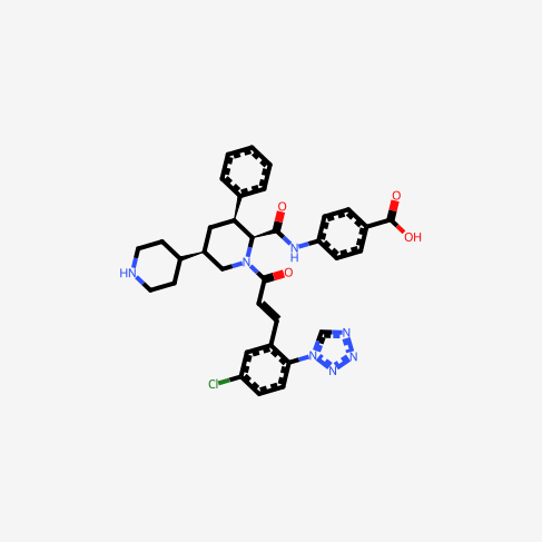 O=C(O)c1ccc(NC(=O)[C@@H]2[C@H](c3ccccc3)C[C@H](C3CCNCC3)CN2C(=O)/C=C/c2cc(Cl)ccc2-n2cnnn2)cc1